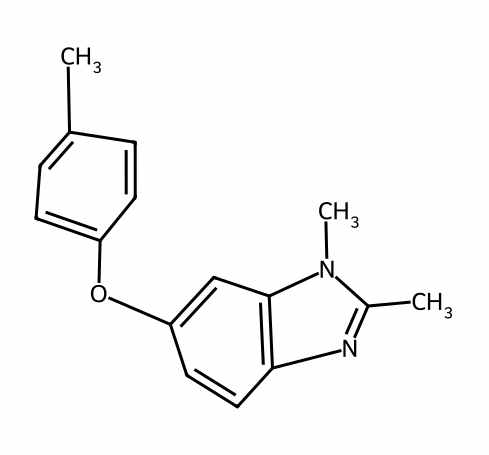 Cc1ccc(Oc2ccc3nc(C)n(C)c3c2)cc1